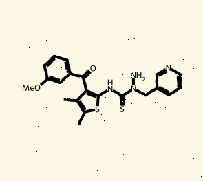 COc1cccc(C(=O)c2c(NC(=S)N(N)Cc3cccnc3)sc(C)c2C)c1